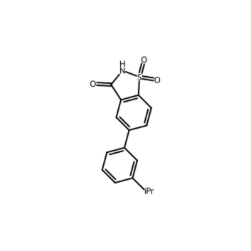 CC(C)c1cccc(-c2ccc3c(c2)C(=O)NS3(=O)=O)c1